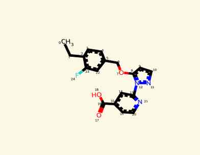 CCc1ccc(COc2ccnn2-c2cc(C(=O)O)ccn2)cc1F